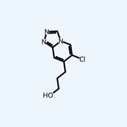 OCCCc1cc2nncn2cc1Cl